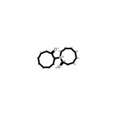 O=C1CCCCCCCC1N1CCCCCCCC1=O